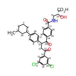 CC1CCCC(c2ccc(C(CC(=O)c3cc(Cl)cc(Cl)c3)C(=O)c3ccc(C(=O)NC[C@@H](O)C(=O)O)cc3)cc2)C1